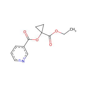 CCOC(=O)C1(OC(=O)c2cccnc2)CC1